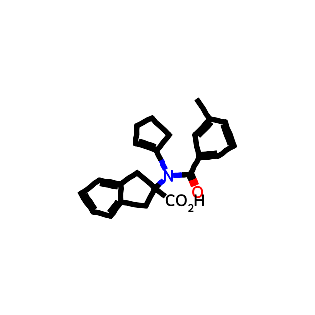 Cc1cccc(C(=O)N(C2=CCCC2)C2(C(=O)O)Cc3ccccc3C2)c1